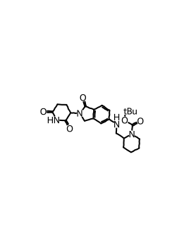 CC(C)(C)OC(=O)N1CCCCC1CNc1ccc2c(c1)CN(C1CCC(=O)NC1=O)C2=O